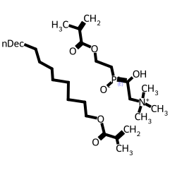 C=C(C)C(=O)OCC/[P+]([O-])=C(\O)C[N+](C)(C)C.C=C(C)C(=O)OCCCCCCCCCCCCCCCCCC